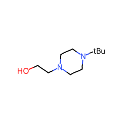 CC(C)(C)N1CCN(CCO)CC1